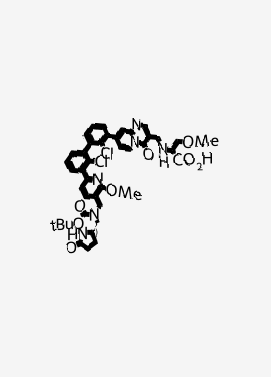 COCC(NCc1cnc2cc(-c3cccc(-c4cccc(-c5ccc(CN(C[C@@H]6CCC(=O)N6)C(=O)OC(C)(C)C)c(OC)n5)c4Cl)c3Cl)ccn2c1=O)C(=O)O